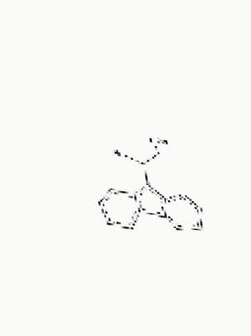 CCCCCCCCCCCC(Br)n1c2ccccc2c2ccccc21